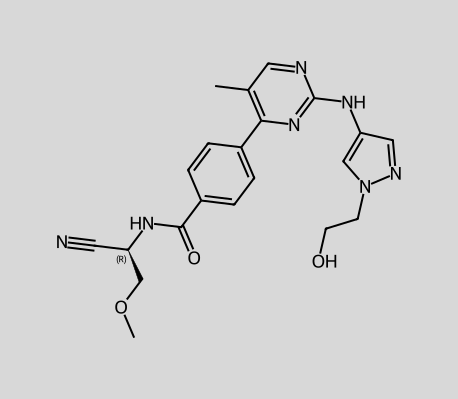 COC[C@@H](C#N)NC(=O)c1ccc(-c2nc(Nc3cnn(CCO)c3)ncc2C)cc1